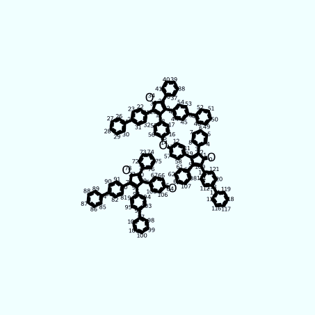 O=C1C(c2ccccc2)=C(c2ccc(Oc3ccc(C4=C(c5ccc(-c6ccccc6)cc5)C(=O)C(c5ccccc5)=C4c4ccc(-c5ccccc5)cc4)cc3)cc2)C(c2ccc(Oc3ccc(C4=C(c5ccccc5)C(=O)C(c5ccc(-c6ccccc6)cc5)=C4c4ccc(-c5ccccc5)cc4)cc3)cc2)=C1c1ccc(-c2ccccc2)cc1